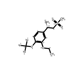 [2H]C([2H])([2H])Oc1ccc([C@H](N)CS(C)(=O)=O)cc1OCC